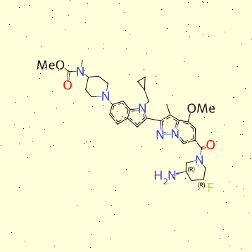 COC(=O)N(C)C1CCN(c2ccc3cc(-c4nn5cc(C(=O)N6C[C@H](N)C[C@@H](F)C6)cc(OC)c5c4C)n(CC4CC4)c3c2)CC1